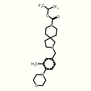 Cc1cc(CN2CCC3(CCN(C(=O)OC(C(F)(F)F)C(F)(F)F)CC3)C2)ccc1N1CCOCC1